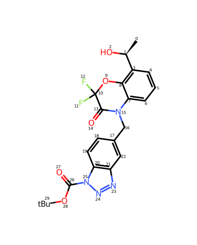 C[C@H](O)c1cccc2c1OC(F)(F)C(=O)N2Cc1ccc2c(c1)nnn2C(=O)OC(C)(C)C